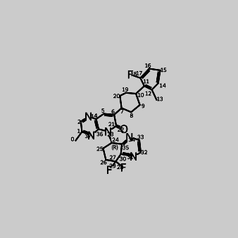 Cc1cnc2cc(C3CCC(c4c(C)cccc4F)CC3)c(=O)n([C@@H]3CCC(F)(F)c4nccnc43)c2n1